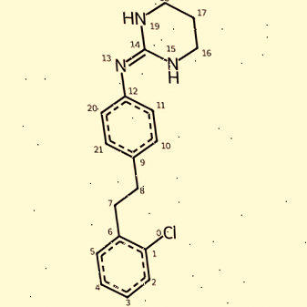 Clc1ccccc1CCc1ccc(N=C2NCCCN2)cc1